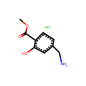 COC(=O)c1ccc(CN)cc1O.Cl